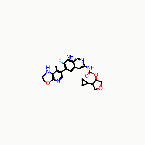 Cc1c(-c2cc3cc(NC(=O)OC4COCC4C4CC4)ncc3c(N)c2F)cnc2c1NCCO2